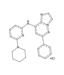 Cl.c1ccc(-c2cc(Nc3cccc(N4CCCCC4)n3)c3nccn3n2)cc1